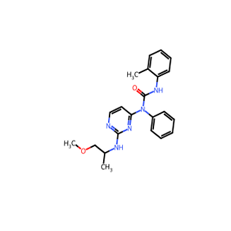 COCC(C)Nc1nccc(N(C(=O)Nc2ccccc2C)c2ccccc2)n1